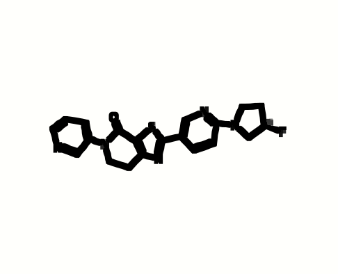 O=C1c2sc(-c3ccc(N4CC[C@@H](F)C4)nc3)nc2CCN1c1cccnc1